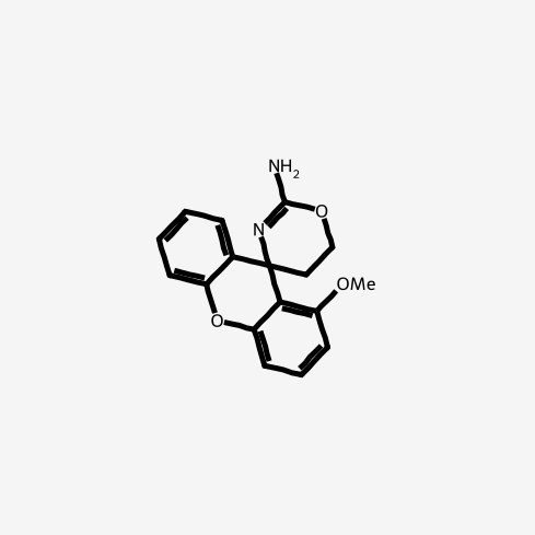 COc1cccc2c1C1(CCOC(N)=N1)c1ccccc1O2